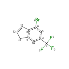 FC(F)(F)c1cc(Br)c2c(c1)CC=C2